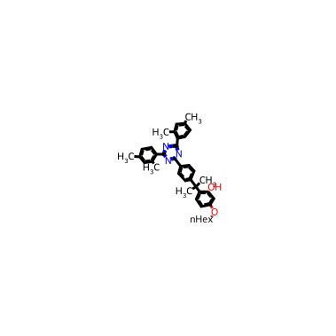 CCCCCCOc1ccc(C(C)(C)c2ccc(-c3nc(-c4ccc(C)cc4C)nc(-c4ccc(C)cc4C)n3)cc2)c(O)c1